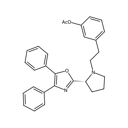 CC(=O)Oc1cccc(CCN2CCC[C@@H]2c2nc(-c3ccccc3)c(-c3ccccc3)o2)c1